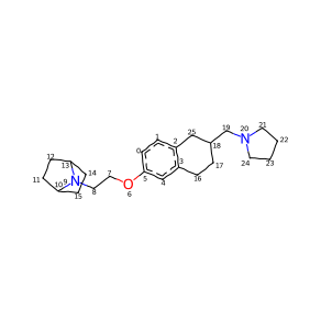 c1cc2c(cc1OCCN1C3CCC1CC3)CCC(CN1CCCC1)C2